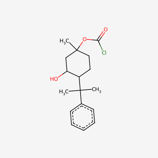 CC1(OC(=O)Cl)CCC(C(C)(C)c2ccccc2)C(O)C1